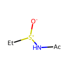 CC[S+]([O-])NC(C)=O